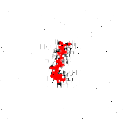 CSCC[C@H](NC(=O)[C@H](CCCCN)NC(=O)[C@@H]1CCCN1C(=O)[C@H](Cc1c[nH]cn1)NC(=O)[C@H](CC(=O)O)NC(=O)[C@H](Cc1c[nH]c2ccccc12)NC(=O)[C@H](CS)NC(=O)[C@@H](NC(=O)[C@@H](NC(=O)[C@H](CCC(N)=O)NC(=O)[C@@H](NC(=O)[C@H](CCC(=O)O)NC(=O)[C@H](Cc1c[nH]cn1)NC(=O)[C@@H](N)CC(N)=O)[C@@H](C)O)[C@@H](C)O)[C@@H](C)O)C(=O)N[C@H](C(=O)O)[C@@H](C)O